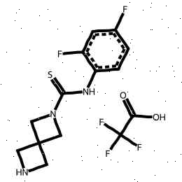 Fc1ccc(NC(=S)N2CC3(CNC3)C2)c(F)c1.O=C(O)C(F)(F)F